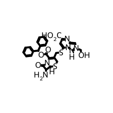 NC1C(=O)N2C(C(=O)OC(c3ccccc3)c3ccccc3)=C(CSC3=CC(C(=O)O)=NC4=CN(CO)NN43)CS[C@H]12